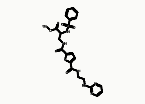 CC(C)(C)OC(=O)C(CNC(=O)c1ccc(C(=O)NCCNc2ncccn2)s1)NS(=O)(=O)c1ccccc1